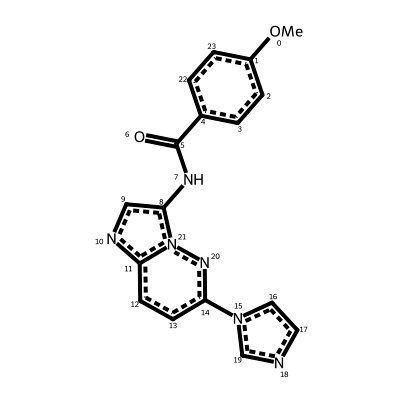 COc1ccc(C(=O)Nc2cnc3ccc(-n4ccnc4)nn23)cc1